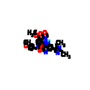 CCc1ncc(-c2cc(F)c3c(Nc4cccc(C(=O)OC)c4C4COCCN4)c(S(=O)(=O)NCc4ccc(OC)cc4)cnc3c2)c(CC)n1